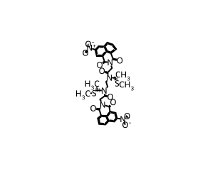 CS[C@@H](C)N(CCN(C(=O)CN1C(=O)c2cccc3cc([N+](=O)[O-])cc(c23)C1=O)[C@H](C)SC)C(=O)CN1C(=O)c2cccc3cc([N+](=O)[O-])cc(c23)C1=O